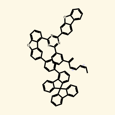 C=C(/C=C\C=C/C)c1cccc(-c2nc(-c3ccc4c(c3)oc3ccccc34)nc(-c3cccc4oc5ccc(-c6ccc(-c7cccc8c7-c7ccccc7C87c8ccccc8-c8ccccc87)cc6)cc5c34)n2)c1